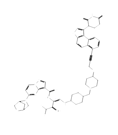 N=C(/C(=C\NC1CCC(CN2CCC(OCC#Cc3cccc4c3ccc3occ(C5CCC(=O)NC5=O)c34)CC2)CC1)NC(=O)c1cnn2ccc(N3CC4CC3CO4)nc12)C(F)F